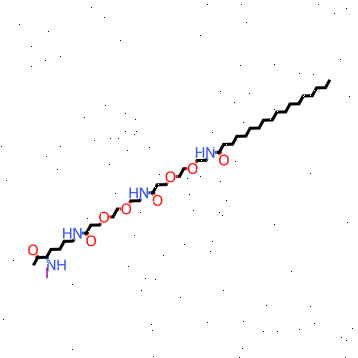 CCCCCCCCCCCCCCCCCC(=O)NCCOCCOCCC(=O)NCCOCCOCCC(=O)NCCCCC(NI)C(C)=O